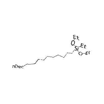 CCCCCCCCCCCCCCCCCCCC[Si](CC)(OCC)OCC